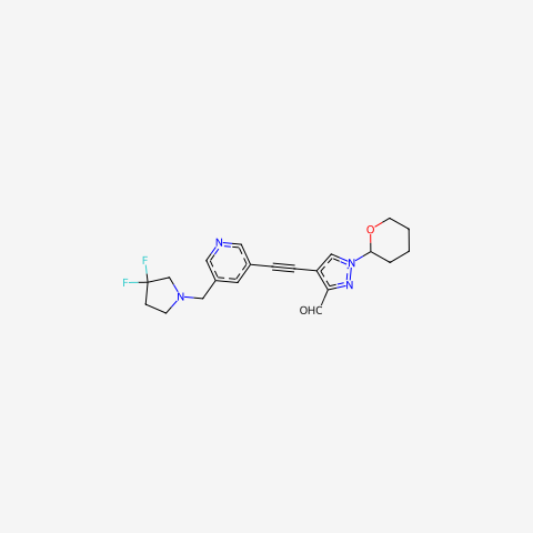 O=Cc1nn(C2CCCCO2)cc1C#Cc1cncc(CN2CCC(F)(F)C2)c1